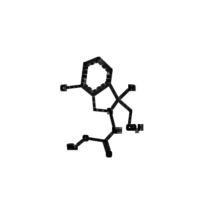 CCC1(CC(=O)O)c2cccc(Cl)c2CN1NC(=O)OC(C)(C)C